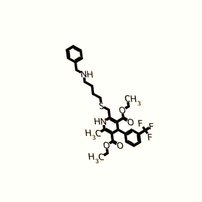 CCOC(=O)C1=C(C)NC(CSCCCCNCc2ccccc2)=C(C(=O)OCC)C1c1cccc(C(F)(F)F)c1